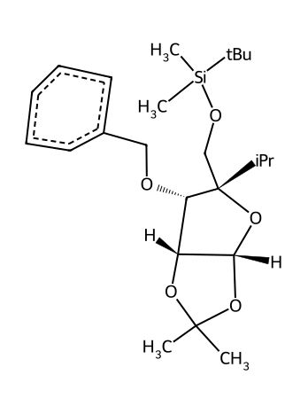 CC(C)[C@@]1(CO[Si](C)(C)C(C)(C)C)O[C@@H]2OC(C)(C)O[C@@H]2[C@@H]1OCc1ccccc1